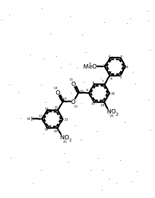 COc1ccccc1-c1cc(C(=O)OC(=O)c2cc(I)cc([N+](=O)[O-])c2)cc([N+](=O)[O-])c1